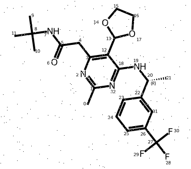 Cc1nc(CC(=O)NC(C)(C)C)c(C2OCCO2)c(N[C@H](C)c2cccc(C(F)(F)F)c2)n1